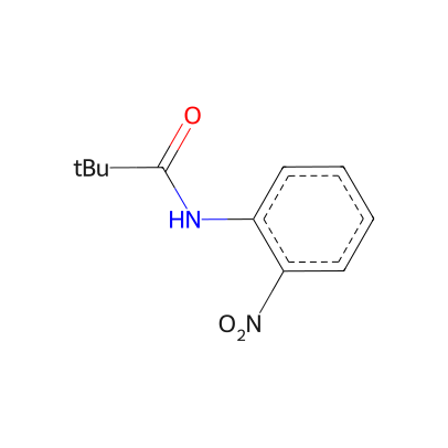 CC(C)(C)C(=O)Nc1ccccc1[N+](=O)[O-]